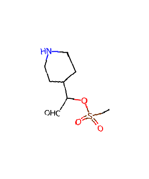 CS(=O)(=O)OC(C=O)C1CCNCC1